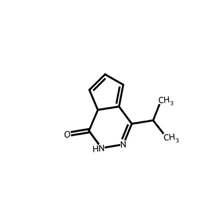 CC(C)C1=NNC(=O)C2C=CC=C12